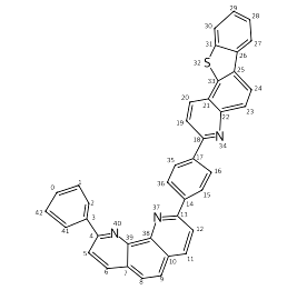 c1ccc(-c2ccc3ccc4ccc(-c5ccc(-c6ccc7c(ccc8c9ccccc9sc78)n6)cc5)nc4c3n2)cc1